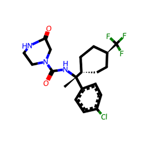 C[C@](NC(=O)N1CCNC(=O)C1)(c1ccc(Cl)cc1)[C@H]1CC[C@H](C(F)(F)F)CC1